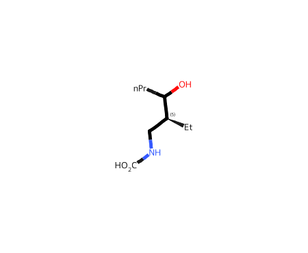 CCCC(O)[C@@H](CC)CNC(=O)O